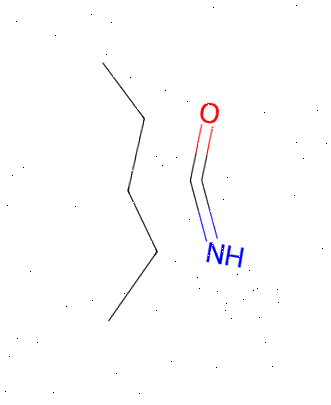 CCCCC.N=C=O